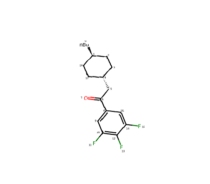 CCCC[C@H]1CC[C@H](CC(=O)c2cc(F)c(F)c(F)c2)CC1